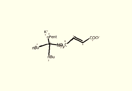 CCCCCC(N)(CCCC)CCCC.O=C([O-])C=CC(=O)O.[K+]